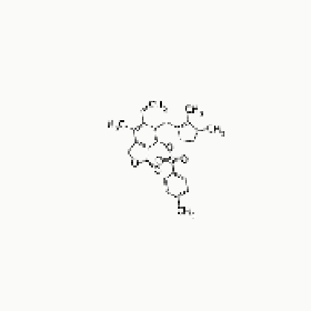 C=Cc1c(C)c2c(c(OS(=O)(=O)c3ccc(C)cc3)c1CC1=C(C)C(C)CC1)C(=O)OC2